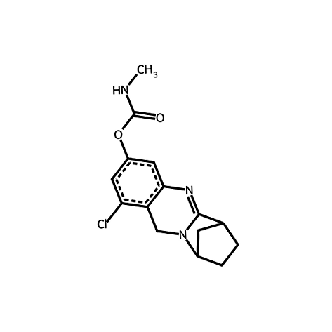 CNC(=O)Oc1cc(Cl)c2c(c1)N=C1C3CCC(C3)N1C2